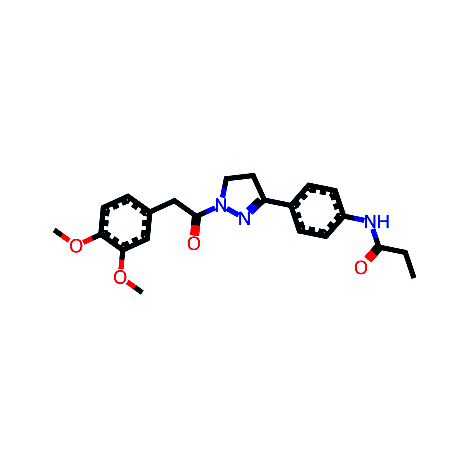 CCC(=O)Nc1ccc(C2=NN(C(=O)Cc3ccc(OC)c(OC)c3)CC2)cc1